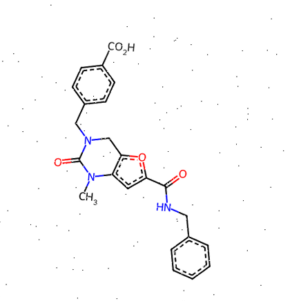 CN1C(=O)N(Cc2ccc(C(=O)O)cc2)Cc2oc(C(=O)NCc3ccccc3)cc21